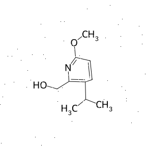 COc1ccc(C(C)C)c(CO)n1